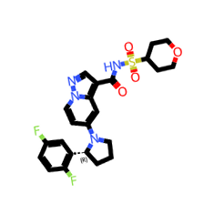 O=C(NS(=O)(=O)C1CCOCC1)c1cnn2ccc(N3CCC[C@@H]3c3cc(F)ccc3F)cc12